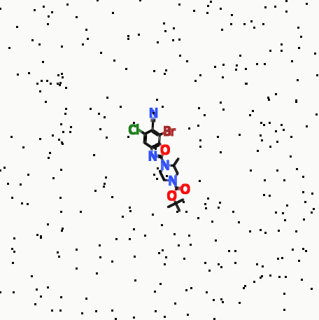 CC1CN(C(=O)OC(C)(C)C)CCN1c1nc2cc(Cl)c(C#N)c(Br)c2o1